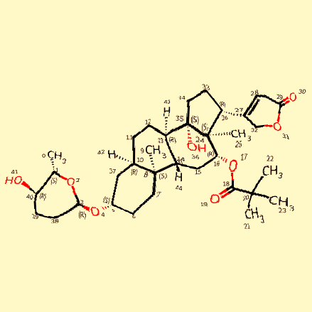 C[C@@H]1O[C@@H](O[C@H]2CC[C@@]3(C)[C@H](CC[C@@H]4[C@@H]3C[C@@H](OC(=O)C(C)(C)C)[C@]3(C)[C@@H](C5=CC(=O)OC5)CC[C@]43O)C2)CC[C@H]1O